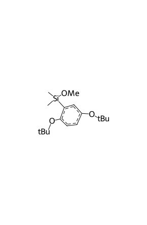 CO[Si](C)(C)c1cc(OC(C)(C)C)ccc1OC(C)(C)C